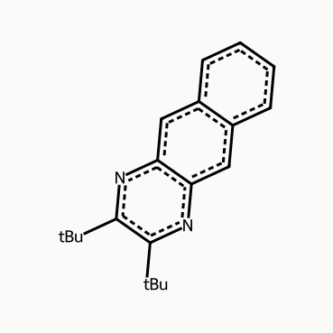 CC(C)(C)c1nc2cc3ccccc3cc2nc1C(C)(C)C